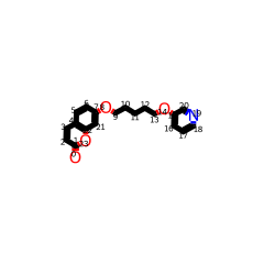 O=c1ccc2ccc(OCCCCCOc3cccnc3)cc2o1